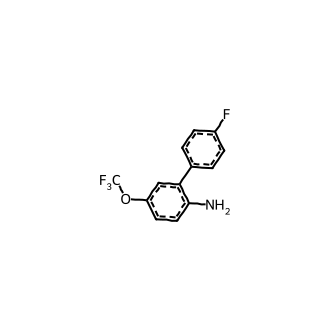 Nc1ccc(OC(F)(F)F)cc1-c1ccc(F)cc1